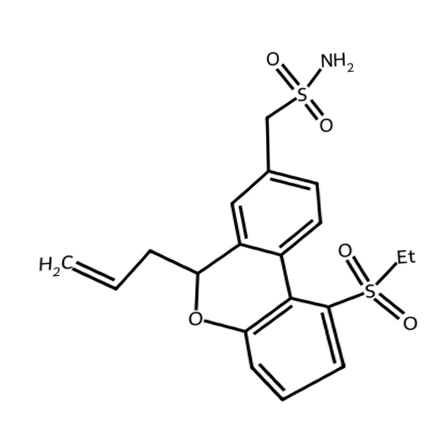 C=CCC1Oc2cccc(S(=O)(=O)CC)c2-c2ccc(CS(N)(=O)=O)cc21